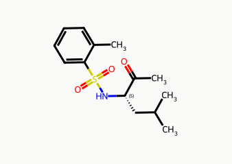 CC(=O)[C@H](CC(C)C)NS(=O)(=O)c1ccccc1C